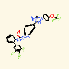 O=C(Nc1ccc(-c2ncn(-c3ccc(OC(F)(F)F)cc3)n2)cc1)Nc1ccccc1-c1cc(F)c(F)c(F)c1